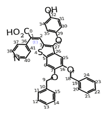 O=C(O)/C(=C/c1sc2cc(OCc3ccccc3)c(OCc3ccccc3)cc2c1Oc1ccc(O)cc1)c1ccncc1